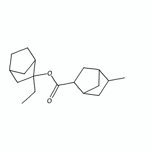 CCC1(OC(=O)C2CC3CC2CC3C)CC2CCC1C2